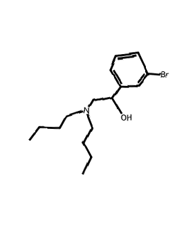 CCCCN(CCCC)CC(O)c1cccc(Br)c1